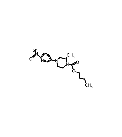 CCCCOC(=O)N1CCN(c2ccc([N+](=O)[O-])nc2)CC1C